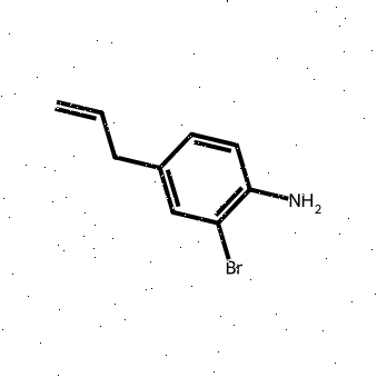 C=CCc1ccc(N)c(Br)c1